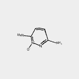 CNc1ccc(N)n[n+]1[O-]